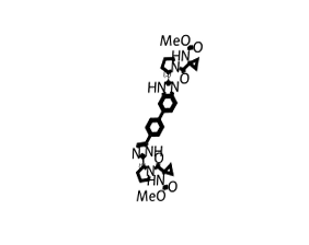 COC(=O)NC1(C(=O)N2CCC[C@H]2c2ncc(-c3ccc(-c4ccc5nc([C@@H]6CCCN6C(=O)C6(NC(=O)OC)CC6)[nH]c5c4)cc3)[nH]2)CC1